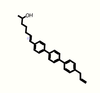 C=CCc1ccc(-c2ccc(-c3ccc(/C=C/CCCC(C)O)cc3)cc2)cc1